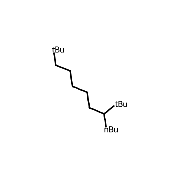 CCCCC(CCCCCC(C)(C)C)C(C)(C)C